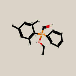 CCO[PH](C=O)(c1ccccc1)c1c(C)cc(C)cc1C